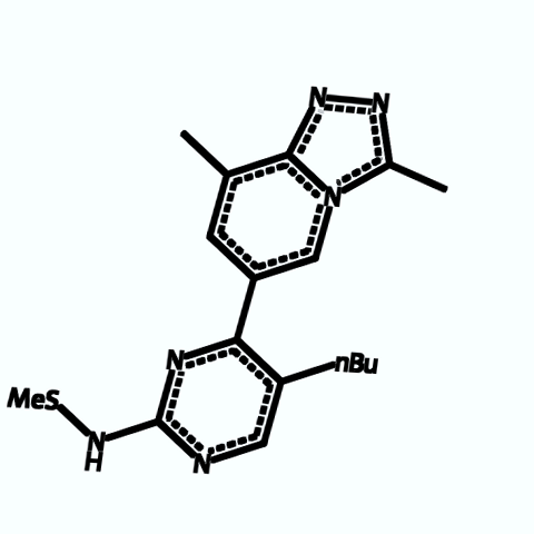 CCCCc1cnc(NSC)nc1-c1cc(C)c2nnc(C)n2c1